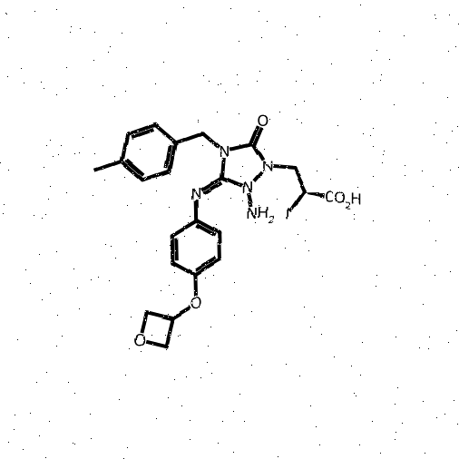 Cc1ccc(Cn2c(=O)n(C[C@H](I)C(=O)O)n(N)/c2=N\c2ccc(OC3COC3)cc2)cc1